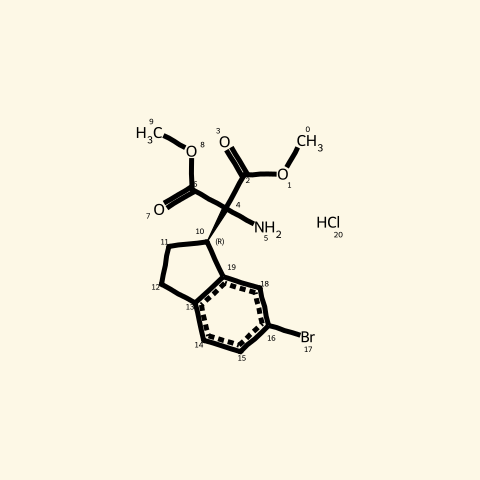 COC(=O)C(N)(C(=O)OC)[C@@H]1CCc2ccc(Br)cc21.Cl